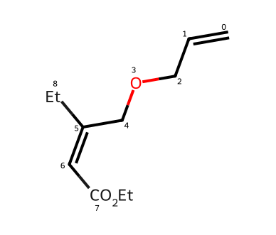 C=CCOCC(=CC(=O)OCC)CC